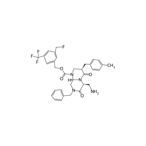 Cc1ccc(C[C@@H]2CN(C(=O)OCc3cc(CF)cc(C(F)(F)F)c3)[C@H]3CN(Cc4ccccc4)C(=O)[C@H](CN)N3C2=O)cc1